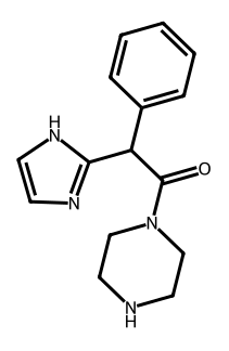 O=C(C(c1ccccc1)c1ncc[nH]1)N1CCNCC1